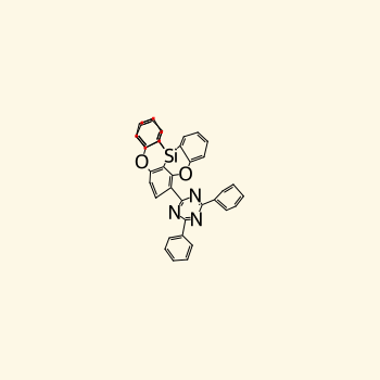 c1ccc(-c2nc(-c3ccccc3)nc(-c3ccc4c5c3Oc3ccccc3[Si]5(c3ccccc3)c3ccccc3O4)n2)cc1